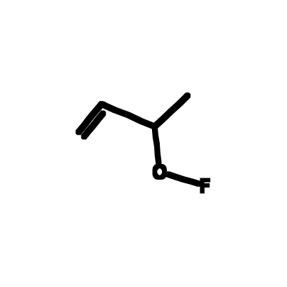 C=CC(C)OF